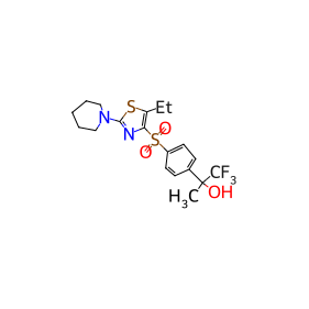 CCc1sc(N2CCCCC2)nc1S(=O)(=O)c1ccc(C(C)(O)C(F)(F)F)cc1